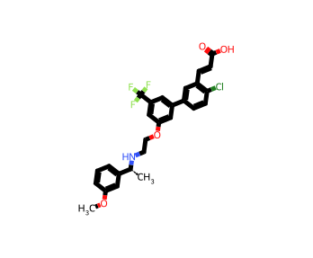 COc1cccc([C@@H](C)NCCOc2cc(-c3ccc(Cl)c(/C=C/C(=O)O)c3)cc(C(F)(F)F)c2)c1